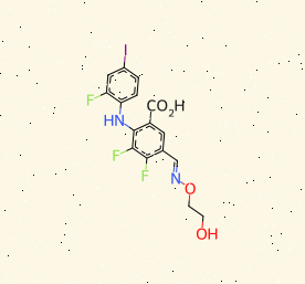 O=C(O)c1cc(C=NOCCO)c(F)c(F)c1Nc1ccc(I)cc1F